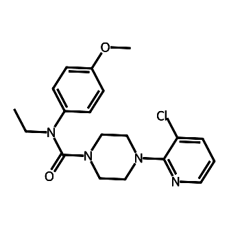 CCN(C(=O)N1CCN(c2ncccc2Cl)CC1)c1ccc(OC)cc1